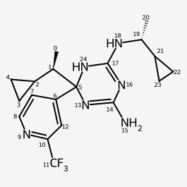 C[C@H](C1CC1)C1(c2ccnc(C(F)(F)F)c2)N=C(N)N=C(N[C@H](C)C2CC2)N1